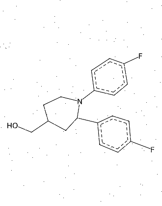 OCC1CCN(c2ccc(F)cc2)C(c2ccc(F)cc2)C1